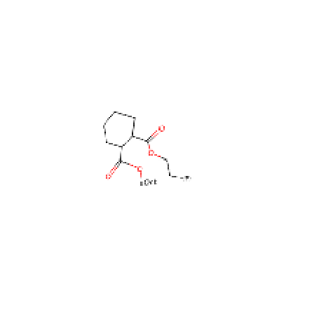 CCCCCCCCOC(=O)C1CCCCC1C(=O)OCCC(C)C